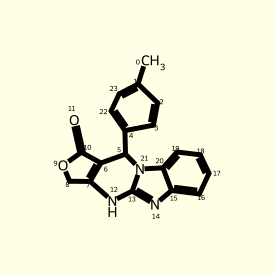 Cc1ccc(C2C3=C(COC3=O)Nc3nc4ccccc4n32)cc1